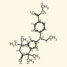 CCN(c1ccc(C(=O)OC)cn1)c1nc2c(s1)C(C)(C)CC(=O)C2(C)C